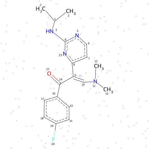 CC(C)Nc1nccc(/C(=C\N(C)C)C(=O)c2ccc(F)cc2)n1